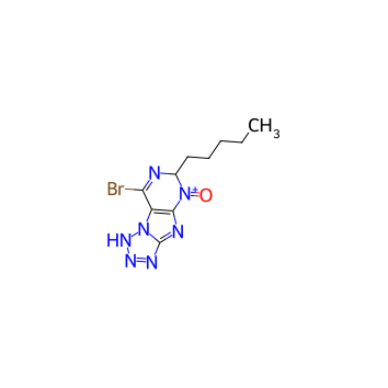 CCCCCC1N=C(Br)c2c(nc3nn[nH]n23)[N+]1=O